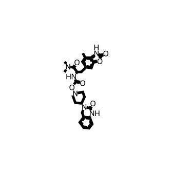 Cc1cc(CC(NC(=O)ON2CCC(N3Cc4ccccc4NC3=O)CC2)C(=O)N(C)C)cc2oc(=O)[nH]c12